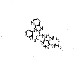 C[C@H](Nc1ncnc(N)c1N)c1nc2cccnc2n1-c1ccccc1